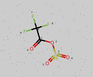 O=C(O[SH](=O)=O)C(F)(F)F